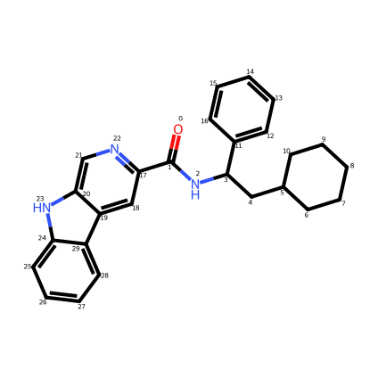 O=C(NC(CC1CCCCC1)c1ccccc1)c1cc2c(cn1)[nH]c1ccccc12